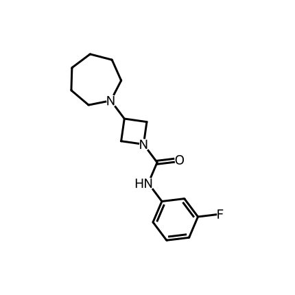 O=C(Nc1cccc(F)c1)N1CC(N2CCCCCC2)C1